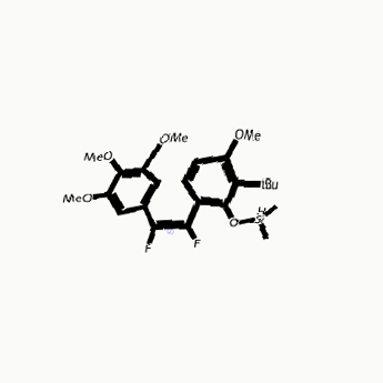 COc1cc(/C(F)=C(/F)c2ccc(OC)c(C(C)(C)C)c2O[SiH](C)C)cc(OC)c1OC